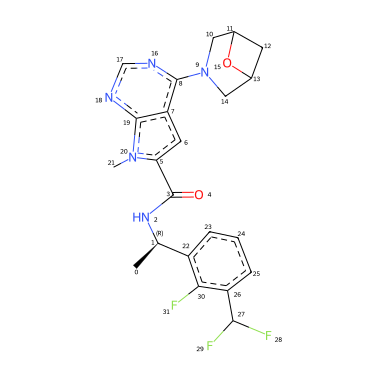 C[C@@H](NC(=O)c1cc2c(N3CC4CC(C3)O4)ncnc2n1C)c1cccc(C(F)F)c1F